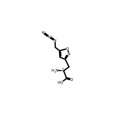 [N-]=[N+]=NCc1cc(C[C@H](N)C(=O)O)no1